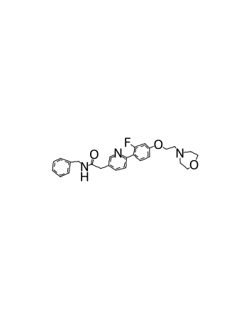 O=C(Cc1ccc(-c2ccc(OCCN3CCOCC3)cc2F)nc1)NCc1ccccc1